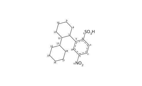 O=[N+]([O-])c1ccc(S(=O)(=O)O)c(C2CCCCC2C2CCCCC2)c1